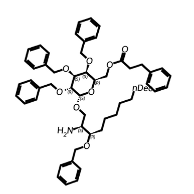 CCCCCCCCCCCCCCC[C@@H](OCc1ccccc1)[C@@H](N)CO[C@H]1O[C@H](COC(=O)CCc2ccccc2)[C@H](OCc2ccccc2)[C@H](OCc2ccccc2)[C@H]1OCc1ccccc1